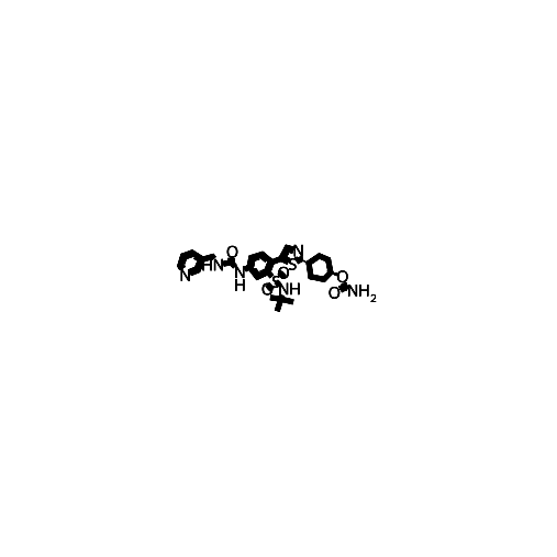 CC(C)(C)NS(=O)(=O)c1cc(NC(=O)NCc2cccnc2)ccc1-c1cnc([C@H]2CC[C@H](OC(N)=O)CC2)s1